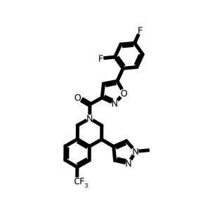 Cn1cc(C2CN(C(=O)c3cc(-c4ccc(F)cc4F)on3)Cc3ccc(C(F)(F)F)cc32)cn1